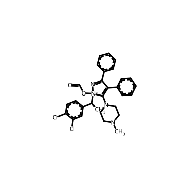 CC(c1ccc(Cl)c(Cl)c1)[N+]1(OC=O)N=C(c2ccccc2)C(c2ccccc2)=C1N1CCN(C)CC1